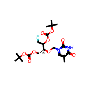 Cc1cn(CO[C@H](COC(=O)OC(C)(C)C)C(CF)OC(=O)OC(C)(C)C)c(=O)[nH]c1=O